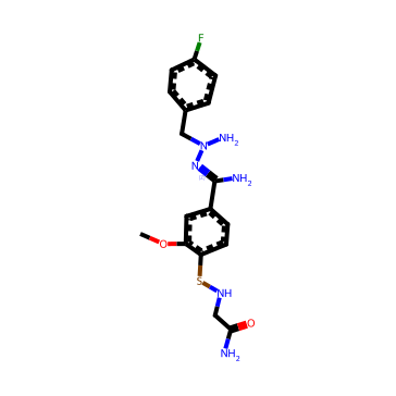 COc1cc(/C(N)=N/N(N)Cc2ccc(F)cc2)ccc1SNCC(N)=O